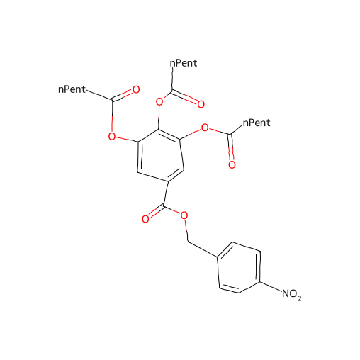 CCCCCC(=O)Oc1cc(C(=O)OCc2ccc([N+](=O)[O-])cc2)cc(OC(=O)CCCCC)c1OC(=O)CCCCC